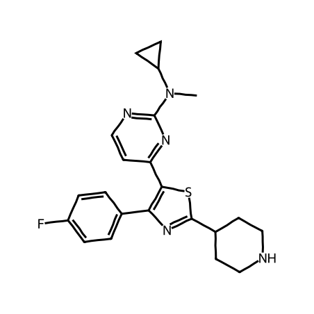 CN(c1nccc(-c2sc(C3CCNCC3)nc2-c2ccc(F)cc2)n1)C1CC1